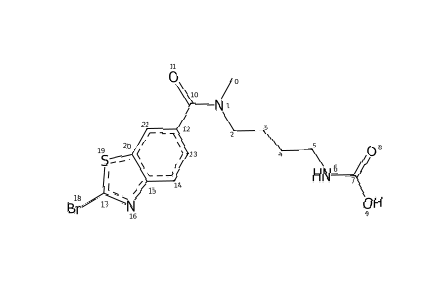 CN(CCCCNC(=O)O)C(=O)c1ccc2nc(Br)sc2c1